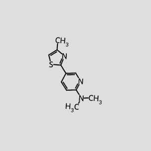 Cc1csc(-c2ccc(N(C)C)nc2)n1